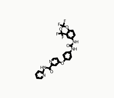 O=C(Nc1ccc(Oc2ccnc(C(=O)Nc3ccccn3)c2)cc1)Nc1ccc2c(c1)C(F)(F)OC(F)(F)O2